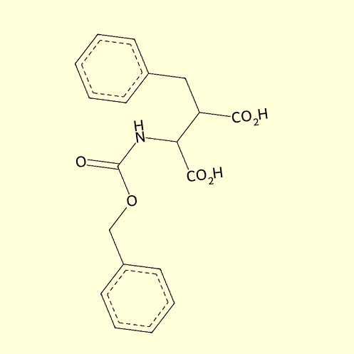 O=C(NC(C(=O)O)C(Cc1ccccc1)C(=O)O)OCc1ccccc1